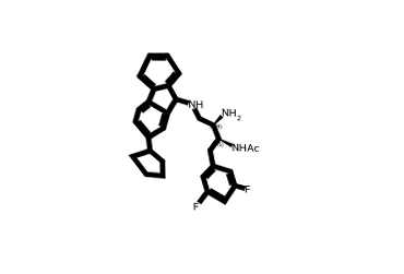 CC(=O)N[C@@H](Cc1cc(F)cc(F)c1)[C@H](N)CNC1c2ccccc2-c2ccc(C3CCCC3)cc21